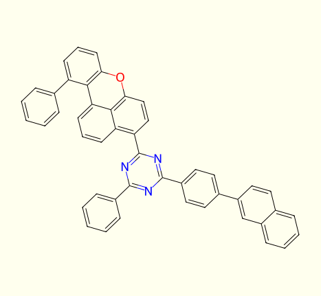 c1ccc(-c2nc(-c3ccc(-c4ccc5ccccc5c4)cc3)nc(-c3ccc4c5c(cccc35)-c3c(cccc3-c3ccccc3)O4)n2)cc1